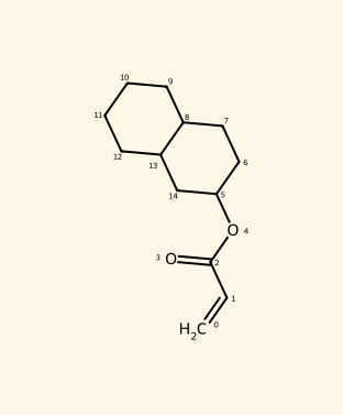 C=CC(=O)OC1CCC2CCCCC2C1